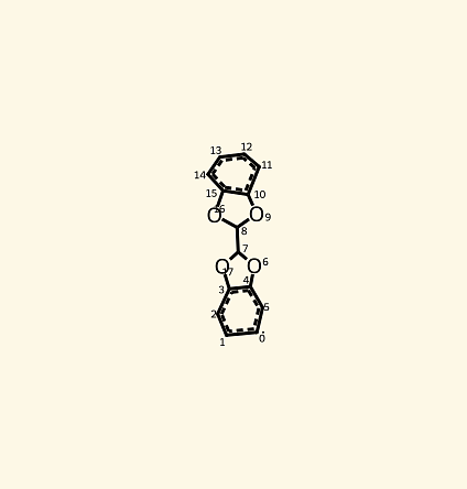 [c]1ccc2c(c1)OC(C1Oc3ccccc3O1)O2